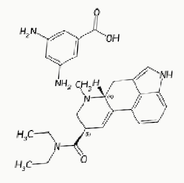 CCN(CC)C(=O)[C@@H]1C=C2c3cccc4[nH]cc(c34)C[C@H]2N(C)C1.Nc1cc(N)cc(C(=O)O)c1